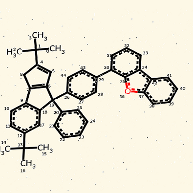 CC(C)(C)C1=CC2=C(C1)c1ccc(C(C)(C)C)cc1C2(c1ccccc1)c1ccc(-c2cccc3c2oc2ccccc23)cc1